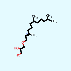 C/C(=C\COCC(O)CO)CCCC(C)CCCC(C)C